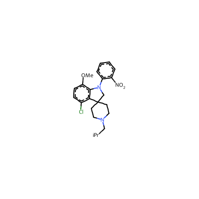 COc1ccc(Cl)c2c1N(c1ccccc1[N+](=O)[O-])CC21CCN(CC(C)C)CC1